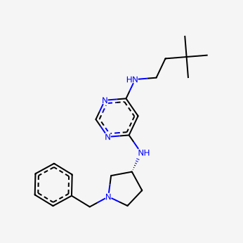 CC(C)(C)CCNc1cc(N[C@@H]2CCN(Cc3ccccc3)C2)ncn1